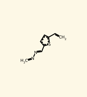 C=Cc1ccc(C=NN=C)s1